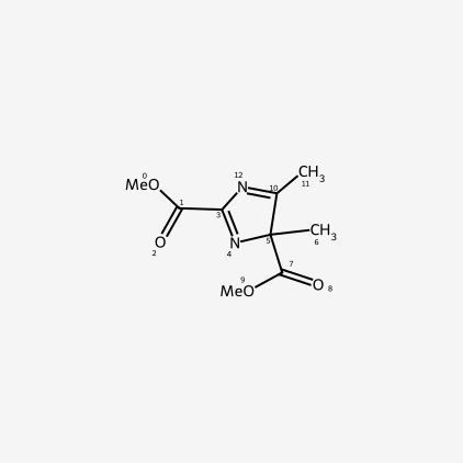 COC(=O)C1=NC(C)(C(=O)OC)C(C)=N1